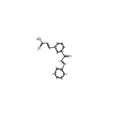 O=C(O)/C=C/c1cccc(C(=O)/C=C/c2ccccc2)c1